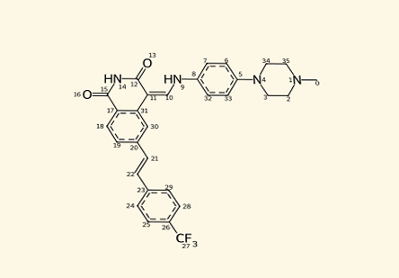 CN1CCN(c2ccc(NC=C3C(=O)NC(=O)c4ccc(C=Cc5ccc(C(F)(F)F)cc5)cc43)cc2)CC1